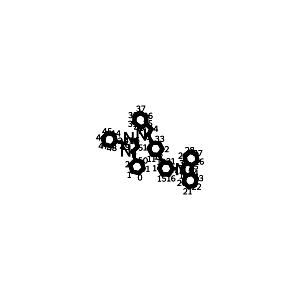 c1ccc(-c2cc(-n3c(-c4ccc(-c5cccc(-n6c7ccccc7c7ccccc76)c5)cc4)cc4ccccc43)nc(-c3ccccc3)n2)cc1